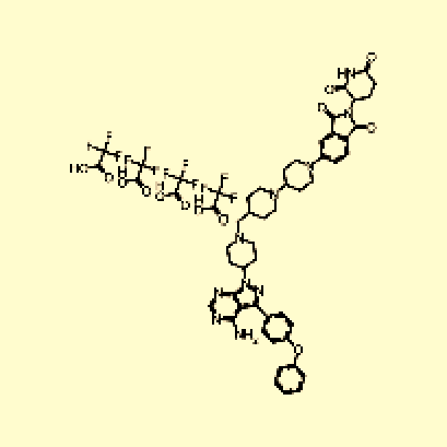 Nc1ncnc2c1c(-c1ccc(Oc3ccccc3)cc1)nn2C1CCN(CC2CCN(C3CCN(c4ccc5c(c4)C(=O)N(C4CCC(=O)NC4=O)C5=O)CC3)CC2)CC1.O=C(O)C(F)(F)F.O=C(O)C(F)(F)F.O=C(O)C(F)(F)F.O=C(O)C(F)(F)F